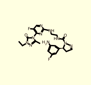 CCn1nc(C)n(-c2nc(NCCNC(=O)N3N=CC[C@H]3c3cc(N)cc(F)c3)ncc2F)c1=O